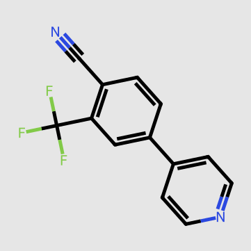 N#Cc1ccc(-c2ccncc2)cc1C(F)(F)F